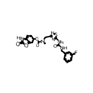 CN(Cc1nsc(NC(=O)NCc2cccc(F)c2)n1)C(=O)Oc1ccc2[nH]c(=O)oc2c1